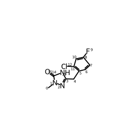 Cn1nc(Cc2ccc(F)cc2Cl)[nH]c1=O